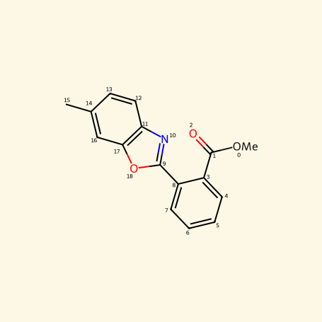 COC(=O)c1ccccc1-c1nc2ccc(C)cc2o1